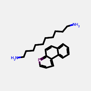 NCCCCCCCCCCN.c1ccc2c(c1)ccc1pcccc12